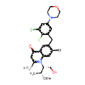 CCc1cc2c(cc1Cc1cc(N3CCOCC3)cc(Cl)c1F)c(=O)cc(C(=O)O)n2[C@H](CO)[C@@H](C)OC